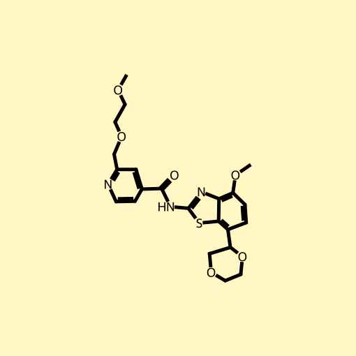 COCCOCc1cc(C(=O)Nc2nc3c(OC)ccc(C4COCCO4)c3s2)ccn1